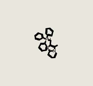 Cc1c(C[PH](c2ccccc2)(c2ccccc2)c2ccccc2)nc2ccccn12